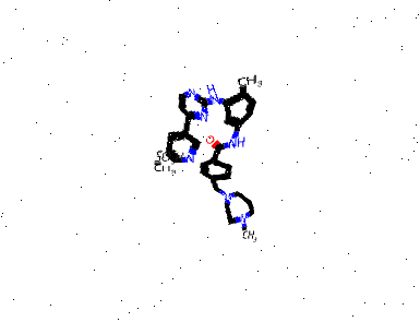 CS(=O)(=O)O.Cc1ccc(NC(=O)c2ccc(CN3CCCN(C)CC3)cc2)cc1Nc1nccc(-c2cccnc2)n1